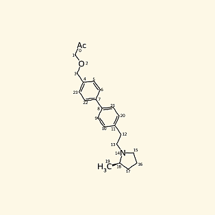 CC(=O)COCc1ccc(-c2ccc(CCN3CCC[C@H]3C)cc2)cc1